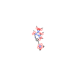 CCOC(=O)CN(CCN(CCN(CC(=O)OCC)CC(=O)OCC)C(C/C=C/c1ccc(CCCON(C(=O)OC(C)(C)C)C(=O)OC(C)(C)C)cc1)C(=O)OCC)CC(=O)OCC